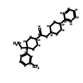 NCC1(c2cccc(C(F)(F)F)c2)CCN(C(=O)CN2CCN(c3ncccn3)CC2)CC1